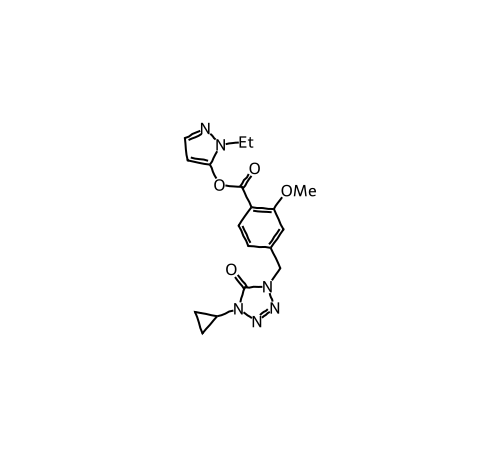 CCn1nccc1OC(=O)c1ccc(Cn2nnn(C3CC3)c2=O)cc1OC